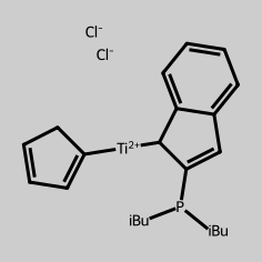 CCC(C)P(C1=Cc2ccccc2[CH]1[Ti+2][C]1=CC=CC1)C(C)CC.[Cl-].[Cl-]